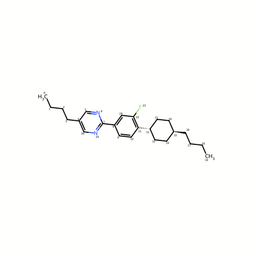 CCCCc1cnc(-c2ccc([C@H]3CC[C@H](CCCC)CC3)c(F)c2)nc1